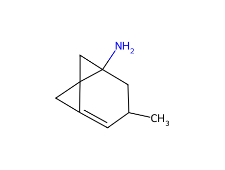 CC1C=C2CC23CC3(N)C1